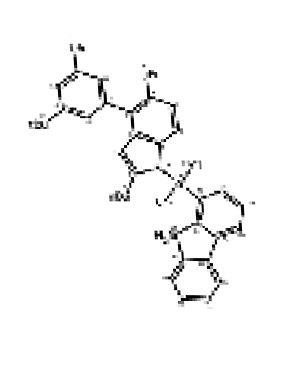 CCCCC1=Cc2c(ccc(CCC)c2-c2cc(C(C)(C)C)cc(C(C)(C)C)c2)[CH]1[Zr]([Cl])([Cl])[c]1cccc2c1[SiH2]c1ccccc1-2